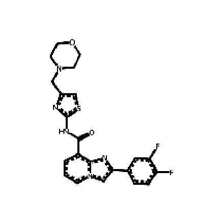 O=C(Nc1nc(CN2CCOCC2)cs1)c1cccn2cc(-c3ccc(F)c(F)c3)nc12